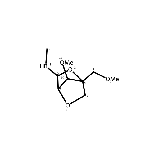 CBC1OC2(COC)COC1C2OC